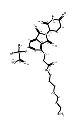 NCCCOCCCNC(=O)COc1cccc2c1C(=O)N(C1CCC(=O)NC1=O)C2=O.O=C(O)C(F)(F)F